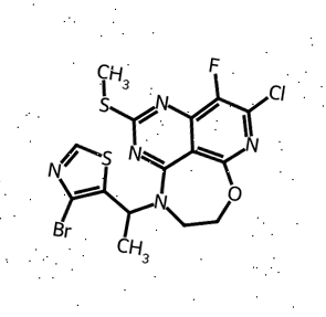 CSc1nc2c3c(nc(Cl)c(F)c3n1)OCCN2C(C)c1scnc1Br